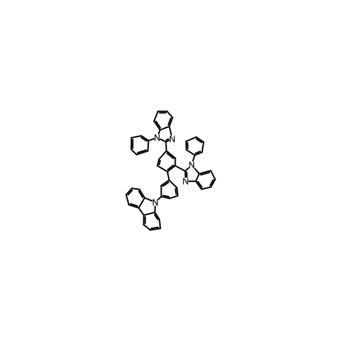 c1ccc(-n2c(-c3ccc(-c4cccc(-n5c6ccccc6c6ccccc65)c4)c(-c4nc5ccccc5n4-c4ccccc4)c3)nc3ccccc32)cc1